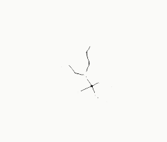 CCC(N)(C(=O)O)N(CCO)CC(=O)O